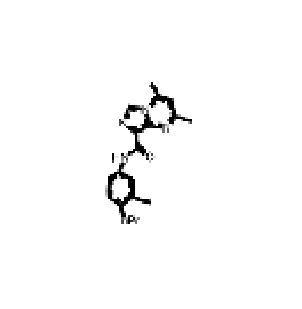 CCCc1ccc(NC(=O)c2ncn3c(C)cc(C)nc23)cc1C